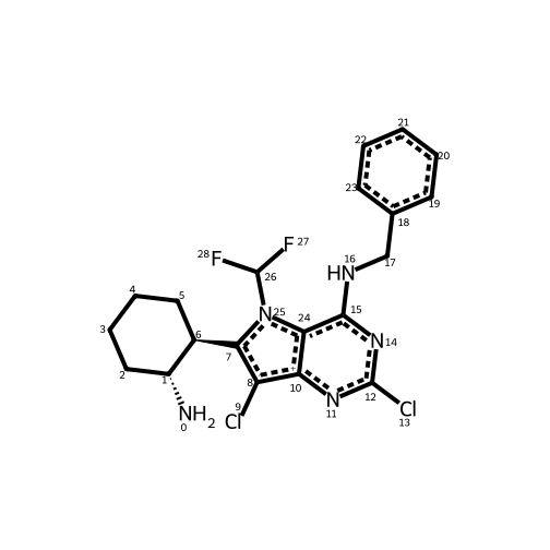 N[C@@H]1CCCC[C@H]1c1c(Cl)c2nc(Cl)nc(NCc3ccccc3)c2n1C(F)F